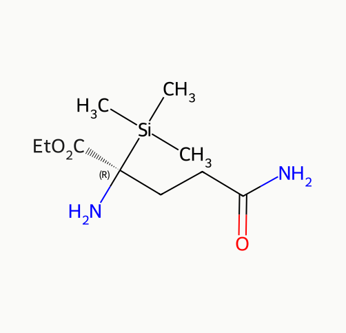 CCOC(=O)[C@@](N)(CCC(N)=O)[Si](C)(C)C